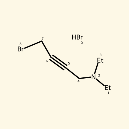 Br.CCN(CC)CC#CCBr